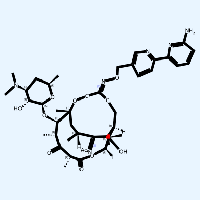 CC(=O)/N=C1/C(C)[C@H]2CC/C(=N\OCc3ccc(-c4cccc(N)n4)nc3)CO[C@](C)(C[C@H]1C)[C@H](O[C@@H]1O[C@H](C)C[C@H](N(C)C)[C@H]1O)[C@@H](C)C(=O)[C@@H](C)C(=O)O[C@H](I)[C@@]2(C)O